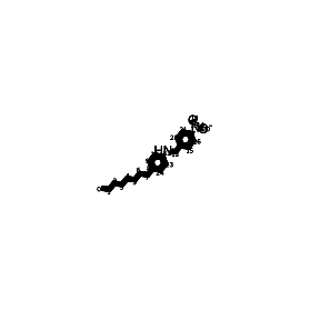 CCCCCCCCc1ccc(NCc2ccc([N+](=O)[O-])cc2)cc1